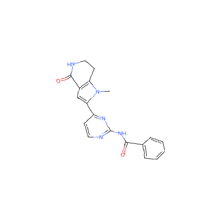 Cn1c(-c2ccnc(NC(=O)c3ccccc3)n2)cc2c1CCNC2=O